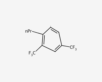 CCCc1[c]cc(C(F)(F)F)cc1C(F)(F)F